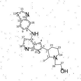 CC1C(c2cc3c(Nc4ccc5scnc5c4)ccnc3s2)CCCN1CCO